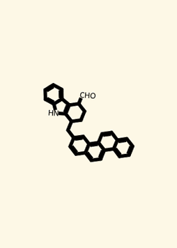 O=CC1CCC(Cc2ccc3ccc4c5ccccc5ccc4c3c2)c2[nH]c3ccccc3c21